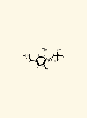 Cc1cc(CN)ccc1OCC(C)(F)F.Cl